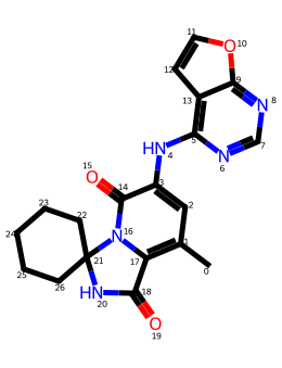 Cc1cc(Nc2ncnc3occc23)c(=O)n2c1C(=O)NC21CCCCC1